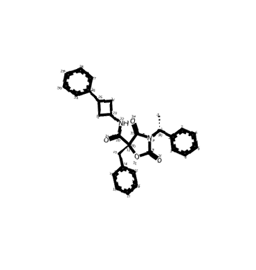 C[C@H](c1ccccc1)N1C(=O)O[C@](Cc2ccccc2)(C(=O)NC2CC(c3ccccc3)C2)C1=O